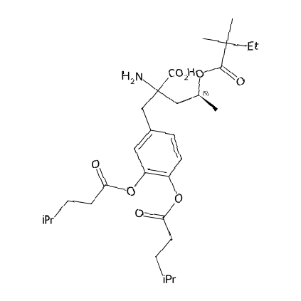 CCC(C)(C)C(=O)O[C@@H](C)CC(N)(Cc1ccc(OC(=O)CCC(C)C)c(OC(=O)CCC(C)C)c1)C(=O)O